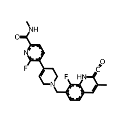 CNC(=O)c1ccc(C2=CCN(Cc3ccc4c(c3F)NC(=C=O)C(C)=C4)CC2)c(F)n1